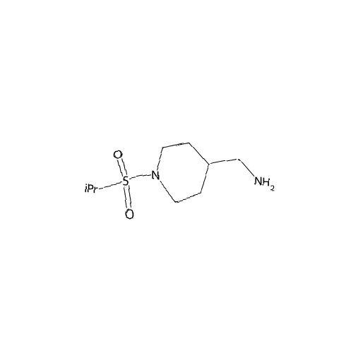 CC(C)S(=O)(=O)N1CCC(CN)CC1